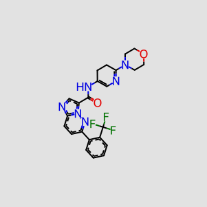 O=C(NC1=CN=C(N2CCOCC2)CC1)c1cnc2ccc(-c3ccccc3C(F)(F)F)nn12